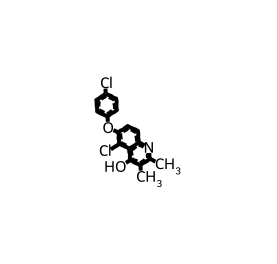 Cc1nc2ccc(Oc3ccc(Cl)cc3)c(Cl)c2c(O)c1C